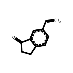 C=Cc1ccc2c(c1)C(=O)CC2